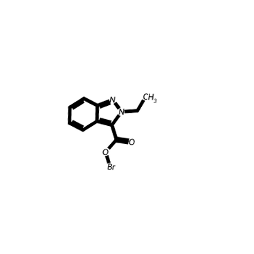 CCn1nc2ccccc2c1C(=O)OBr